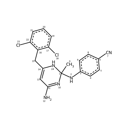 CC1(Nc2ccc(C#N)cc2)N=C(N)C=C(Cc2c(Cl)cccc2Cl)N1